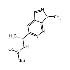 C[C@@H](N[S+]([O-])C(C)(C)C)c1cc2cnn(C)c2nn1